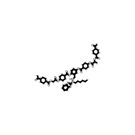 CCCCCCN(NCc1cc(OC(=O)C2CCC(OC(=O)C(C)OC(=O)C3CCC(C(C)=O)CC3)CC2)ccc1OC(=O)C1CCC(OC(=O)COC(=O)C2CCC(C(C)=O)CC2)CC1)c1nc2ccccc2s1